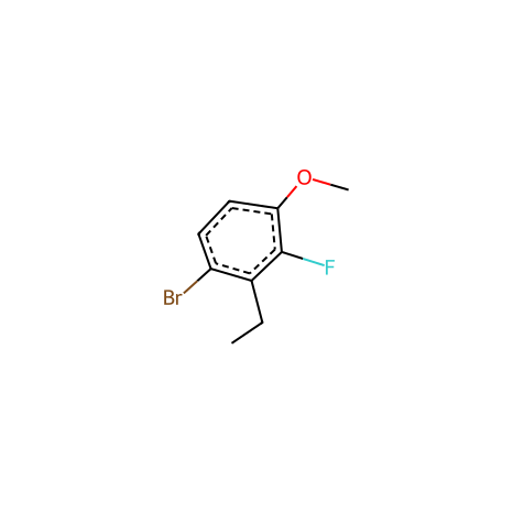 CCc1c(Br)ccc(OC)c1F